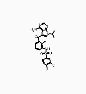 Cc1c(NS(=O)(=O)c2ccc(F)c(Cl)c2)cccc1C(=O)c1cn(C(C)C)c2ncnc(N)c12